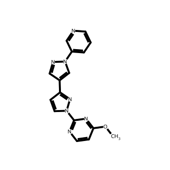 COc1ccnc(-n2ccc(-c3cnn(-c4cccnc4)c3)n2)n1